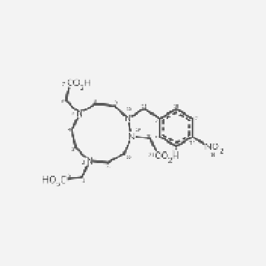 O=C(O)CN1CCN(CC(=O)O)CCN(Cc2ccc([N+](=O)[O-])cc2)N(CC(=O)O)CC1